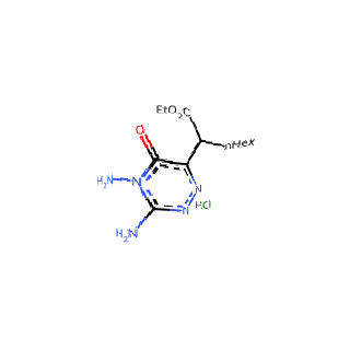 CCCCCCC(C(=O)OCC)c1nnc(N)n(N)c1=O.Cl